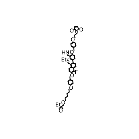 CCSCc1c(-c2ccc(OCc3ccc(OCCCN4C(=O)C=CC4=O)cc3)c(C=N)c2)ccc2c(F)c(OCc3ccc(OCCCCCCOCC4(CC)COC4)cc3)ccc12